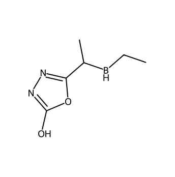 CCBC(C)c1nnc(O)o1